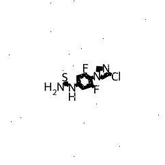 NC(=S)Nc1cc(F)c(-n2cnc(Cl)c2)c(F)c1